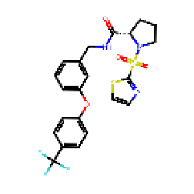 O=C(NCc1cccc(Oc2ccc(C(F)(F)F)cc2)c1)[C@@H]1CCCN1S(=O)(=O)c1nccs1